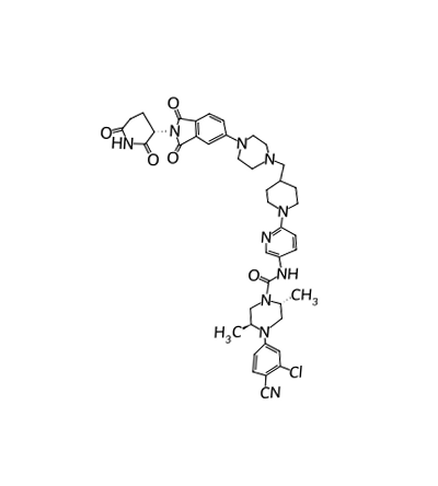 C[C@@H]1CN(c2ccc(C#N)c(Cl)c2)[C@@H](C)CN1C(=O)Nc1ccc(N2CCC(CN3CCN(c4ccc5c(c4)C(=O)N([C@H]4CCC(=O)NC4=O)C5=O)CC3)CC2)nc1